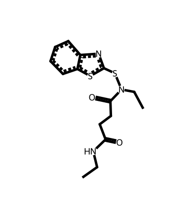 CCNC(=O)CCC(=O)N(CC)Sc1nc2ccccc2s1